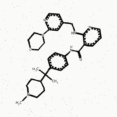 CN1CCC(C(C)(C)c2ccc(NC(=O)c3cccnc3NCc3ccnc(N4CCOCC4)c3)cc2)CC1